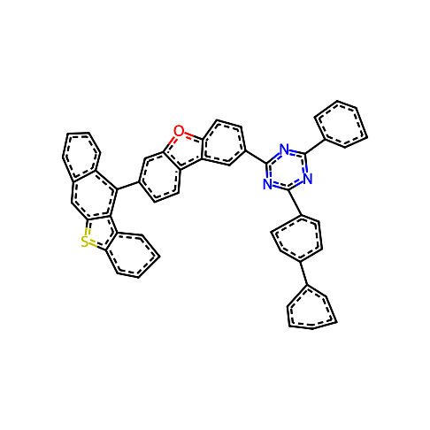 c1ccc(-c2ccc(-c3nc(-c4ccccc4)nc(-c4ccc5oc6cc(-c7c8ccccc8cc8sc9ccccc9c78)ccc6c5c4)n3)cc2)cc1